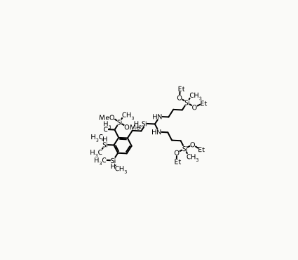 CCO[Si](C)(CCCNC(NCCC[Si](C)(OCC)OCC)[SiH2]CCc1ccc([SiH](C)C)c([SiH](C)C)c1C(C)[Si](C)(OC)OC)OCC